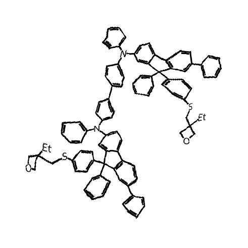 CCC1(CSc2ccc(C3(c4ccccc4)c4cc(-c5ccccc5)ccc4-c4ccc(N(c5ccccc5)c5ccc(-c6ccc(N(c7ccccc7)c7ccc8c(c7)C(c7ccccc7)(c7ccc(SCC9(CC)COC9)cc7)c7cc(-c9ccccc9)ccc7-8)cc6)cc5)cc43)cc2)COC1